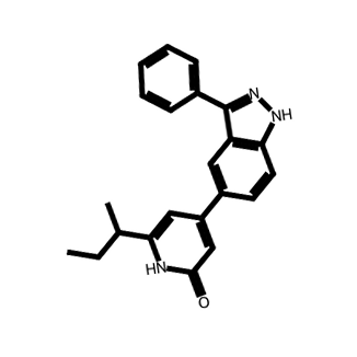 CCC(C)c1cc(-c2ccc3[nH]nc(-c4ccccc4)c3c2)cc(=O)[nH]1